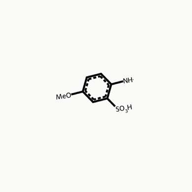 COc1ccc([NH])c(S(=O)(=O)O)c1